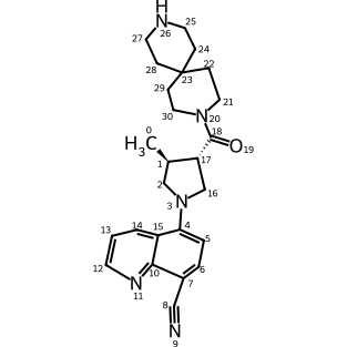 C[C@@H]1CN(c2ccc(C#N)c3ncccc23)C[C@H]1C(=O)N1CCC2(CCNCC2)CC1